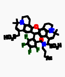 CC(=O)CCCN(C)C(=O)c1c(F)c(F)c(F)c(F)c1C1=c2cc3c4c(c2Oc2c1cc1c5c2CCCN5C(C)(C)C=C1CS(=O)(=O)O)CCC[N+]=4C(C)(C)C=C3CS(=O)(=O)O